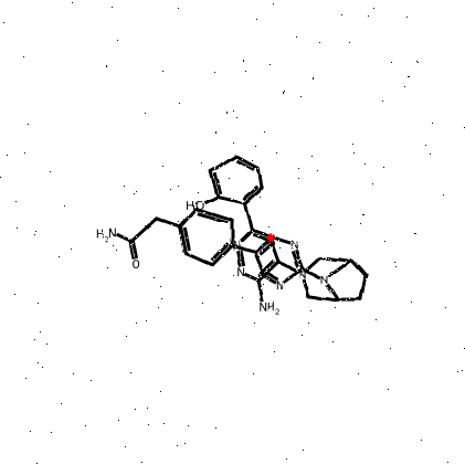 NC(=O)Cc1ccc(-c2cnc(N3C4CCC3CN(c3cc(-c5ccccc5O)nnc3N)C4)nc2)cc1